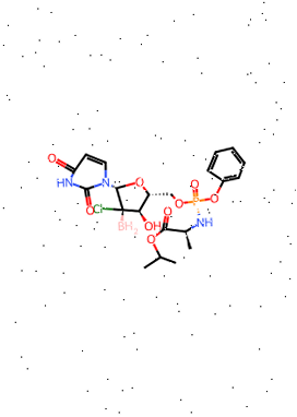 B[C@]1(Cl)[C@H](O)[C@@H](CO[P@](=O)(N[C@@H](C)C(=O)OC(C)C)Oc2ccccc2)O[C@H]1n1ccc(=O)[nH]c1=O